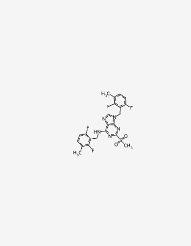 Cc1ccc(F)c(CNc2nc(S(C)(=O)=O)nc3c2ncn3Cc2c(F)ccc(C)c2F)c1F